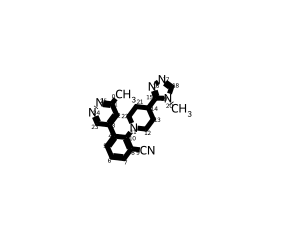 Cc1cc(-c2cccc(C#N)c2N2CCC(c3nncn3C)CC2)cnn1